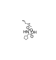 C=CC[C@H]1C[C@]1(C)OC(=O)N[C@H](C(=O)O)C1CCCC1